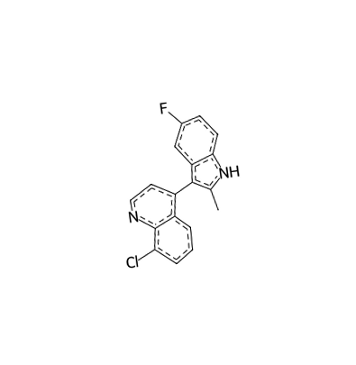 Cc1[nH]c2ccc(F)cc2c1-c1ccnc2c(Cl)cccc12